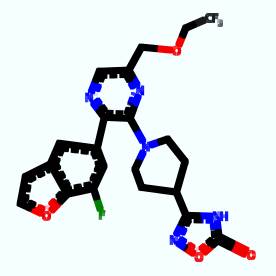 O=c1[nH]c(C2CCN(c3nc(COCC(F)(F)F)cnc3-c3cc(F)c4occc4c3)CC2)no1